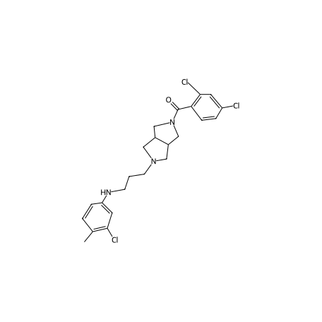 Cc1ccc(NCCCN2CC3CN(C(=O)c4ccc(Cl)cc4Cl)CC3C2)cc1Cl